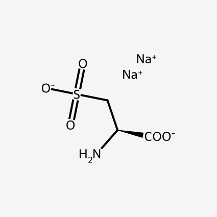 N[C@@H](CS(=O)(=O)[O-])C(=O)[O-].[Na+].[Na+]